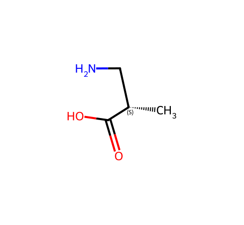 C[C@@H](CN)C(=O)O